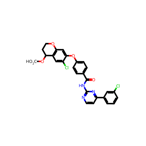 O=C(O)OC1CCOc2cc(Oc3ccc(C(=O)Nc4nccc(-c5cccc(Cl)c5)n4)cc3)c(Cl)cc21